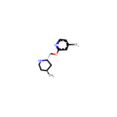 C[C@H]1CCN[C@H](COc2cc(C(F)(F)F)ccn2)C1